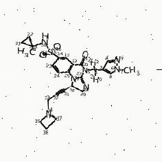 [2H]C([2H])(c1cnn(C)c1)N1C(=O)c2cc(S(=O)(=O)NC3(C)CC3)ccc2N2C1=NC[C@H]2C#CCN1CCC1